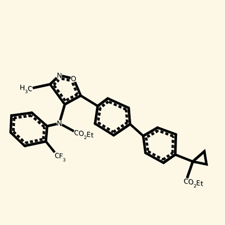 CCOC(=O)N(c1ccccc1C(F)(F)F)c1c(C)noc1-c1ccc(-c2ccc(C3(C(=O)OCC)CC3)cc2)cc1